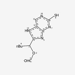 CCCCC(O[C]=O)c1nc2nc(S)ncc2[nH]1